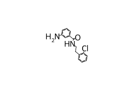 Nc1cccc(C(=O)NCCc2ccccc2Cl)c1